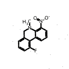 CN1Cc2cccc(F)c2-c2cccc([N+](=O)[O-])c21